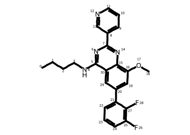 CCCCNc1nc(-c2cccnc2)nc2c(OC)cc(-c3cccc(F)c3F)cc12